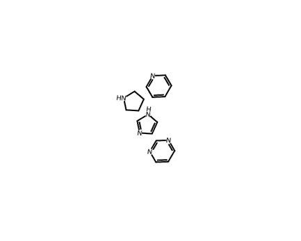 C1CCNC1.c1c[nH]cn1.c1ccncc1.c1cncnc1